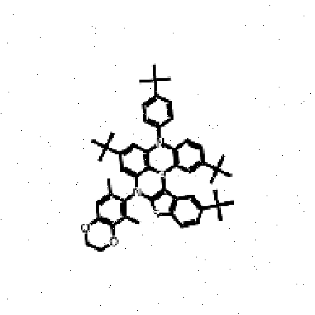 Cc1cc2c(c(C)c1N1c3cc(C(C)(C)C)cc4c3B(c3cc(C(C)(C)C)ccc3N4c3ccc(C(C)(C)C)cc3)c3c1sc1ccc(C(C)(C)C)cc31)OCCO2